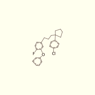 Fc1ccc(CCCC2(c3ccc(Cl)cc3)CCCC2)cc1Oc1ccccc1